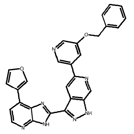 c1ccc(COc2cncc(-c3cc4c(-c5nc6c(-c7ccoc7)ccnc6[nH]5)n[nH]c4cn3)c2)cc1